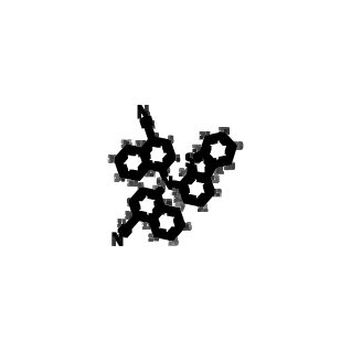 N#Cc1ccc(N(c2ccc(C#N)c3ccccc23)c2cccc3c2sc2ccccc23)c2ccccc12